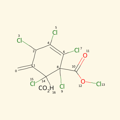 C=C1C(Cl)C(Cl)=C(Cl)C(Cl)(C(=O)OCl)C1(Cl)C(=O)O